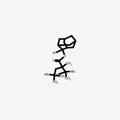 CCCCC(C)(C)CC(C)(C(=O)OC1(CC)C2CC3CC(C2)CC1C3)C(C)(C)CCCC